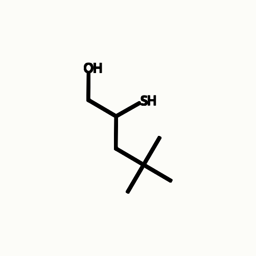 CC(C)(C)CC(S)CO